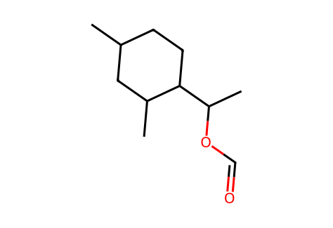 CC1CCC(C(C)OC=O)C(C)C1